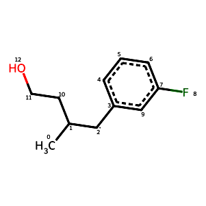 CC([CH]c1cccc(F)c1)CCO